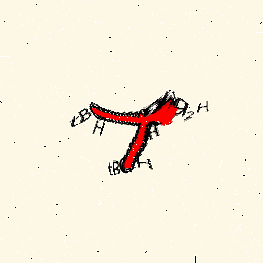 CC(C)(C)OC(=O)NCCOCCOCCOCCOCCOCCOCCOCCOCCOCCOCCOCCOCCC(=O)NCC(NC(=O)CCOCCOCCOCCOCCOCCOCCOCCOCCOCCOCCOCCOCCNC(=O)OC(C)(C)C)C(=O)NCCCC[C@H](NC(=O)OCC1c2ccccc2-c2ccccc21)C(=O)O